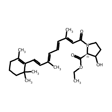 CCOC(=O)[C@@H]1C(O)CCN1C(=O)C=C(C)C=CC=C(C)C=CC1=C(C)CCCC1(C)C